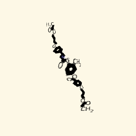 C=CC(=O)OCCCCOc1ccc(/C=C/C(=O)Sc2ccc(OC(=O)c3ccc(OCCCCOC(=O)C=C)cc3)cc2C)cc1